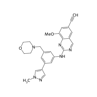 C#Cc1cc(OC)c2nc(Nc3cc(CN4CCOCC4)cc(-c4cnn(C)c4)c3)ncc2c1